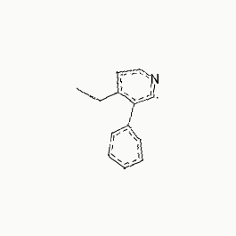 CCc1ccn[c]c1-c1ccccc1